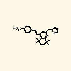 CC1(C)CCC(C)(C)c2c(/C=C/c3ccc(C(=O)O)cc3)cc(Cn3cccn3)cc21